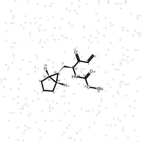 C=CC(=O)[C@H](C[C@@H]1[C@@H]2CCC[C@@H]21)NC(=O)OC(C)(C)C